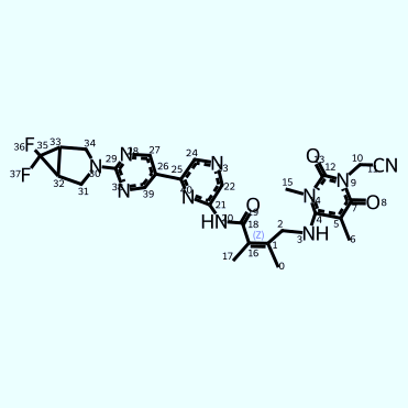 C/C(CNc1c(C)c(=O)n(CC#N)c(=O)n1C)=C(\C)C(=O)Nc1cncc(-c2cnc(N3CC4C(C3)C4(F)F)nc2)n1